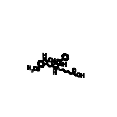 COc1ccc2[nH]c(C)c(CC(=O)N[C@@H](CCCCCC(=O)CO)c3ncc(-c4ccccc4)[nH]3)c2c1